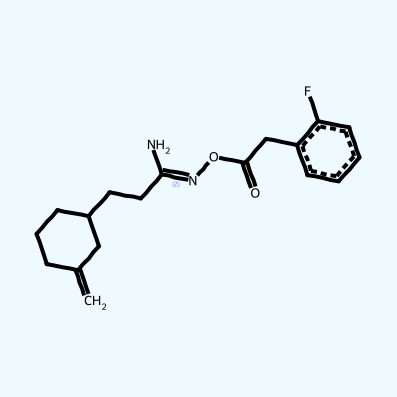 C=C1CCCC(CC/C(N)=N/OC(=O)Cc2ccccc2F)C1